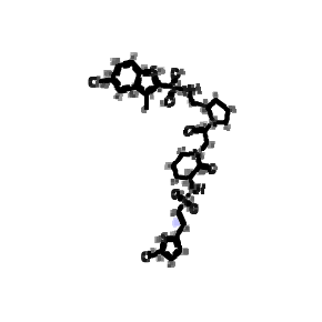 Cc1c(S(=O)(=O)NC[C@H]2CCCN2C(=O)CN2CCC[C@H](NS(=O)(=O)/C=C/c3ccc(Cl)s3)C2=O)sc2ccc(Cl)cc12